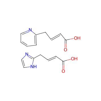 O=C(O)C=CCc1ccccn1.O=C(O)C=CCc1ncc[nH]1